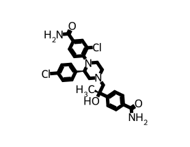 C[C@@](O)(CN1CCN(c2ccc(C(N)=O)cc2Cl)[C@H](c2ccc(Cl)cc2)C1)c1ccc(C(N)=O)cc1